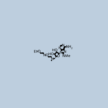 CCOCC=NOCCN(C)C[C@H]1O[C@@H](n2c(NC)nc3c(N)ncnc32)[C@H](O)[C@@H]1O